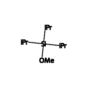 [CH]O[Si](C(C)C)(C(C)C)C(C)C